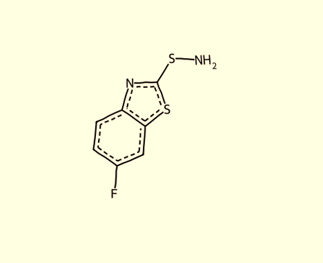 NSc1nc2ccc(F)cc2s1